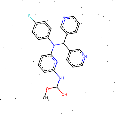 COC(O)Nc1cccc(N(c2ccc(F)cc2)C(c2cccnc2)c2cccnc2)n1